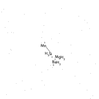 [BaH2].[MgH2].[SiH3][Mn]